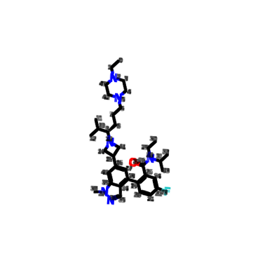 CCN1CCN(CCC[C@H](C(C)C)N2CC(c3cc(-c4ccc(F)cc4C(=O)N(CC)C(C)C)c4cnn(C)c4c3)C2)CC1